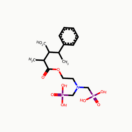 CC(C(=O)OCCN(CP(=O)(O)O)CP(=O)(O)O)C(C(=O)O)C(C)c1ccccc1